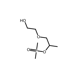 CC(COCCO)OP(C)(C)=O